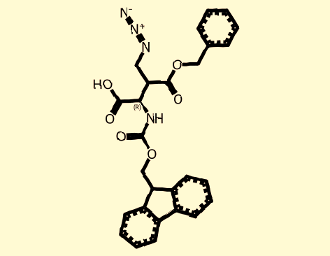 [N-]=[N+]=NCC(C(=O)OCc1ccccc1)[C@@H](NC(=O)OCC1c2ccccc2-c2ccccc21)C(=O)O